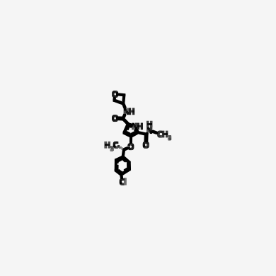 CNC(=O)c1[nH]c(C(=O)NC2COC2)cc1O[C@@H](C)c1ccc(Cl)cc1